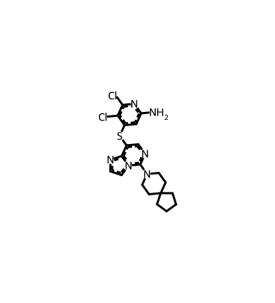 Nc1cc(Sc2cnc(N3CCC4(CCCC4)CC3)n3ccnc23)c(Cl)c(Cl)n1